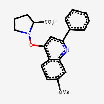 COc1ccc2c(ON3CCC[C@H]3C(=O)O)cc(-c3ccccc3)nc2c1